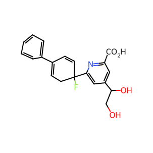 O=C(O)c1cc(C(O)CO)cc(C2(F)C=CC(c3ccccc3)=CC2)n1